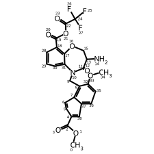 COC(=O)c1ccc2c(CN3C(=O)C(N)COc4c(C(=O)OC(=O)C(F)(F)F)cccc43)c(OC)ccc2c1